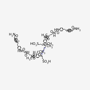 CN(CCCC(=O)NCC(=O)Nc1ccc(CC[N+]23CC[N+](CC(N)=O)(CC2)CC3)cc1)S(=O)(=O)c1ccc2c(c1)C(C)(C)C(/C=C/C=C/C=C1/N(CCCS(=O)(=O)O)c3ccc(S(=O)(=O)N(C)CCCC(=O)NCC(=O)Nc4ccc(CC[N+]56CC[N+](CC(N)=O)(CC5)CC6)cc4)cc3C1(C)C)=[N+]2CCCS(=O)(=O)O